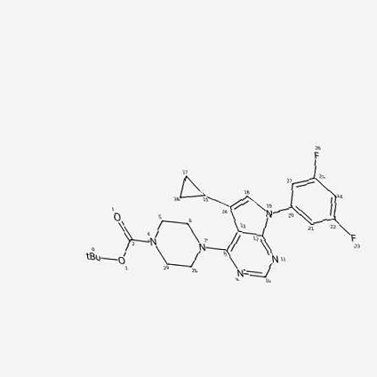 CC(C)(C)OC(=O)N1CCN(c2ncnc3c2c(C2CC2)cn3-c2cc(F)cc(F)c2)CC1